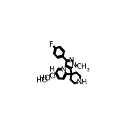 Cl.Cl.Cl.Cn1nc(-c2ccc(F)cc2)cc1C1(c2ccccn2)CCNCC1